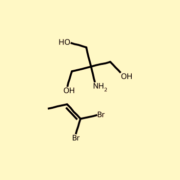 CC=C(Br)Br.NC(CO)(CO)CO